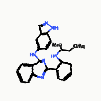 COCC(Nc1ccccc1-c1nc(Nc2ccc3[nH]ncc3c2)c2ccccc2n1)OC